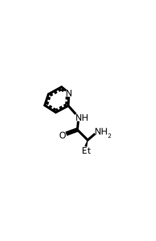 CC[C@H](N)C(=O)Nc1ccccn1